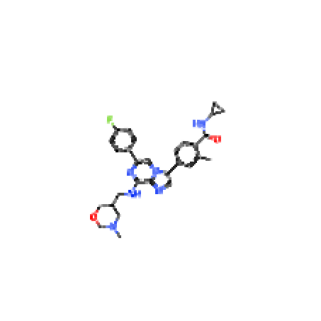 Cc1cc(-c2cnc3c(NCC4COCN(C)C4)nc(-c4ccc(F)cc4)cn23)ccc1C(=O)NC1CC1